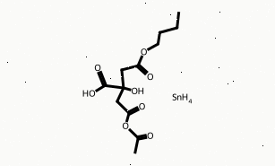 CCCCOC(=O)CC(O)(CC(=O)OC(C)=O)C(=O)O.[SnH4]